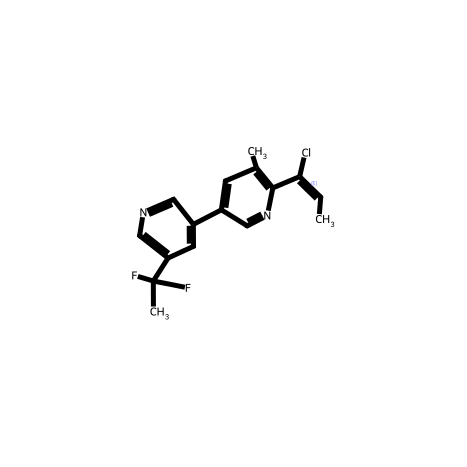 C/C=C(/Cl)c1ncc(-c2cncc(C(C)(F)F)c2)cc1C